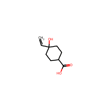 C=CC1(O)CCC(C(=O)O)CC1